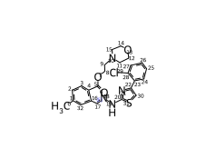 Cc1ccc(C(=O)OCCN2CCOCC2)c(/C=N/Nc2nc(-c3ccccc3Cl)cs2)c1